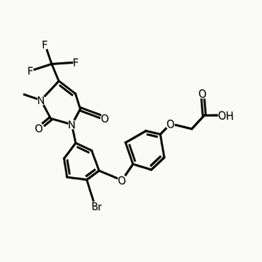 Cn1c(C(F)(F)F)cc(=O)n(-c2ccc(Br)c(Oc3ccc(OCC(=O)O)cc3)c2)c1=O